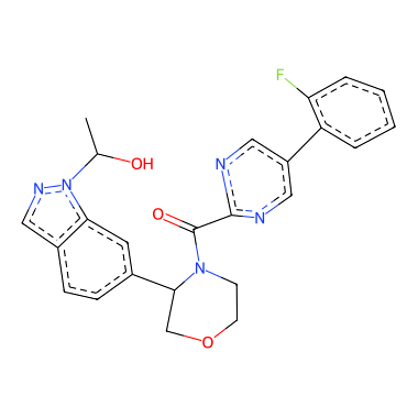 CC(O)n1ncc2ccc(C3COCCN3C(=O)c3ncc(-c4ccccc4F)cn3)cc21